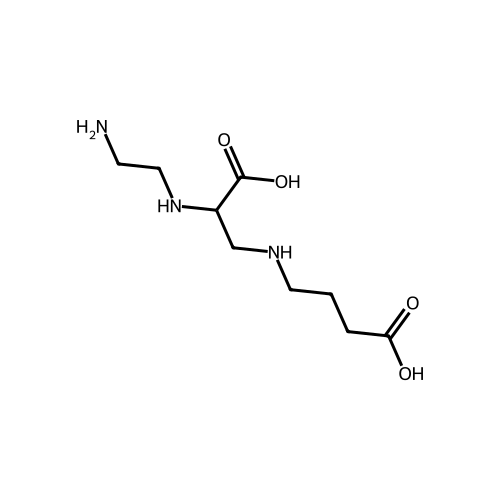 NCCNC(CNCCCC(=O)O)C(=O)O